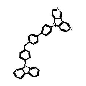 c1ccc2c(c1)c1ccccc1n2-c1ccc(Cc2ccc(-c3ccc(-n4c5ccncc5c5cnccc54)cc3)cc2)cc1